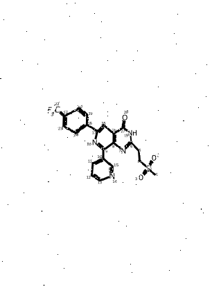 CS(=O)(=O)CCc1nc2c(-c3cccnc3)nc(-c3ccc(C(F)(F)F)cc3)cc2c(=O)[nH]1